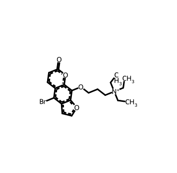 CC[N+](CC)(CC)CCCOc1c2occc2c(Br)c2ccc(=O)oc12